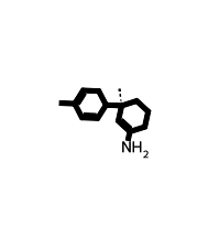 CC1=CCC([C@]2(C)C=C(N)CCC2)C=C1